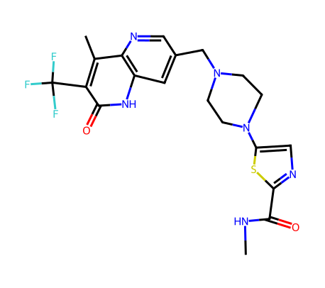 CNC(=O)c1ncc(N2CCN(Cc3cnc4c(C)c(C(F)(F)F)c(=O)[nH]c4c3)CC2)s1